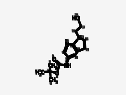 CC(C)(C)OC(=O)Nc1cnc2c(ccn2CCO)c1